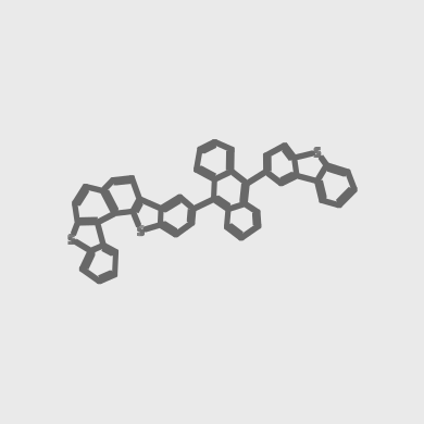 c1ccc2c(c1)sc1ccc(-c3c4ccccc4c(-c4ccc5sc6c(ccc7ccc8sc9ccccc9c8c76)c5c4)c4ccccc34)cc12